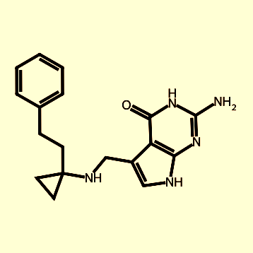 Nc1nc2[nH]cc(CNC3(CCc4ccccc4)CC3)c2c(=O)[nH]1